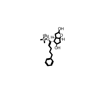 CC(C)(C)[Si](C)(C)O/C(=C/CCCc1ccccc1)[C@@H]1[C@H]2CC(O)O[C@H]2C[C@H]1O